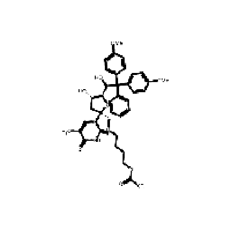 COc1ccc(C(c2ccccc2)(c2ccc(OC)cc2)C(O)[C@H]2O[C@@](COCCCCNC(=O)C(F)(F)F)(n3cc(C)c(=O)[nH]c3=O)C[C@@H]2O)cc1